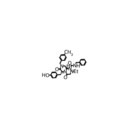 CCN1CC(=O)N2[C@@H](Cc3ccc(O)cc3)C(=O)N(Cc3ccc(C)cc3)C[C@@H]2N1C(=O)NCc1ccccc1